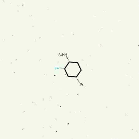 CC(=O)N[C@@H]1CC[C@H](C(C)C)C[C@@H]1F